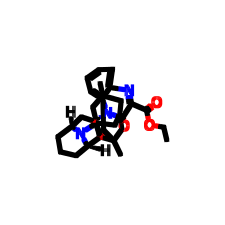 CCOC(=O)c1nc2ccccc2n([C@H]2C[C@H]3CCC[C@@H](C2)N3C23CC4CC(C)(CC(C)(C4)C2)C3)c1=O